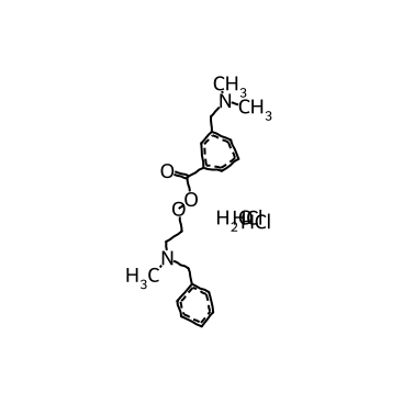 CN(C)Cc1cccc(C(=O)OOCCN(C)Cc2ccccc2)c1.Cl.Cl.O